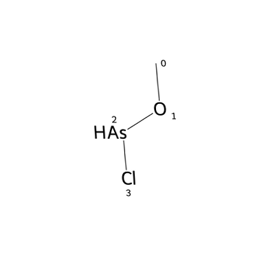 CO[AsH]Cl